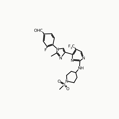 Cc1nc(-c2nc(NC3CCN(S(C)(=O)=O)CC3)ncc2C(F)(F)F)cn1-c1ccc(C=O)cc1F